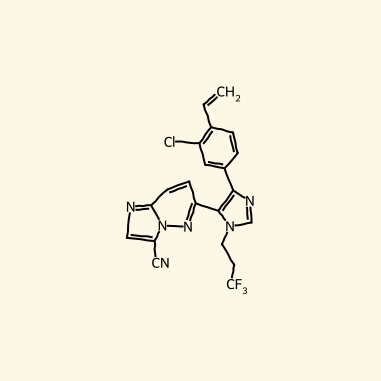 C=Cc1ccc(-c2ncn(CCC(F)(F)F)c2-c2ccc3ncc(C#N)n3n2)cc1Cl